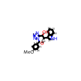 COc1ccc(Cn2nnnc2C(O)C(=C=O)c2c[nH]c3ccccc23)cc1